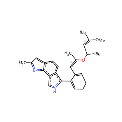 CO/C(=C\C(O/C(C)=C\C1=CCCC=C1c1[nH]cc2c3c(ccc12)=CC(C)=[N+]=3)C(C)(C)C)C(C)(C)C